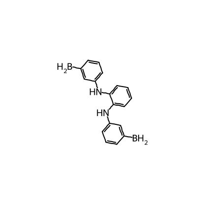 Bc1cccc(Nc2ccccc2Nc2cccc(B)c2)c1